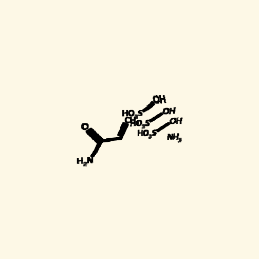 C=CC(N)=O.N.O=S(=O)(O)O.O=S(=O)(O)O.O=S(=O)(O)O